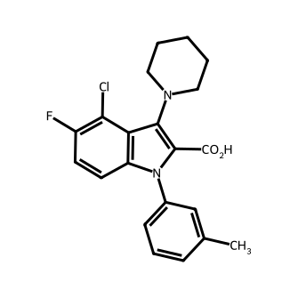 Cc1cccc(-n2c(C(=O)O)c(N3CCCCC3)c3c(Cl)c(F)ccc32)c1